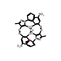 Cc1nn(-c2ccccc2)c2c1N=Nc1cc([N+](=O)[O-])ccc1[O][Co]1([O]c3ccc([N+](=O)[O-])cc3N=Nc3c(C)nn(-c4ccccc4)c3[O]1)[O]2